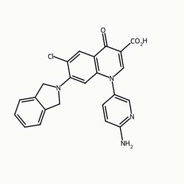 Nc1ccc(-n2cc(C(=O)O)c(=O)c3cc(Cl)c(N4Cc5ccccc5C4)cc32)cn1